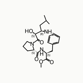 COC(=O)[C@H](Cc1ccccc1)NC(=O)[C@@H]1CCCN1C(=O)[C@@H](O)[C@H](N)CC(C)C